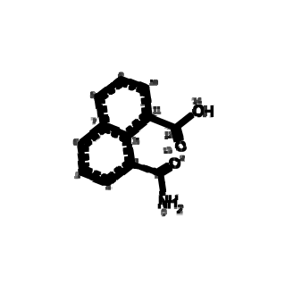 NC(=O)c1cccc2cccc(C(=O)O)c12